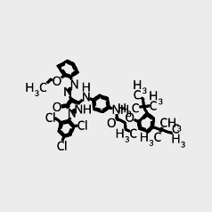 CCOc1ccccc1N=Nc1c(Nc2ccc(NC(=O)C(CC)Oc3ccc(C(C)(C)CC)cc3C(C)(C)CC)cc2)[nH]n(-c2c(Cl)cc(Cl)cc2Cl)c1=O